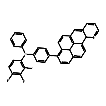 Fc1ccc(N(c2ccccc2)c2ccc(C3=C4C=CC5=C6C(=CC=C(C=C3)C46)C3N=CC=CC3=C5)cc2)c(F)c1F